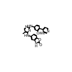 COc1cc(Nc2ncc(C)c(Nc3ccc4oc(=O)[nH]c4c3)n2)ccc1-c1ccncc1